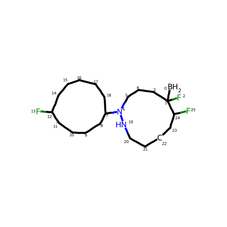 BC1(F)CCCN(C2CCC[CH]C(F)CCCCC2)NCCCCC1F